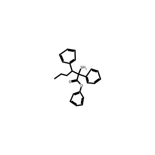 CCCC(c1ccccc1)C([SiH3])(C(=O)Oc1ccccc1)c1ccccc1